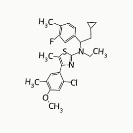 CCN(c1nc(-c2cc(C)c(OC)cc2Cl)c(C)s1)C(CC1CC1)c1ccc(C)c(F)c1